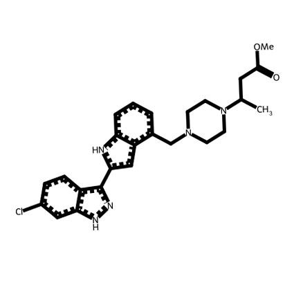 COC(=O)CC(C)N1CCN(Cc2cccc3[nH]c(-c4n[nH]c5cc(Cl)ccc45)cc23)CC1